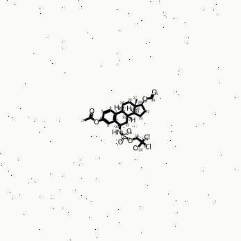 CC(=O)Oc1ccc2c(c1)C(NS(=O)(=O)OCC(Cl)(Cl)Cl)C[C@@H]1[C@@H]2CC[C@]2(C)[C@@H](OC=O)CC[C@@H]12